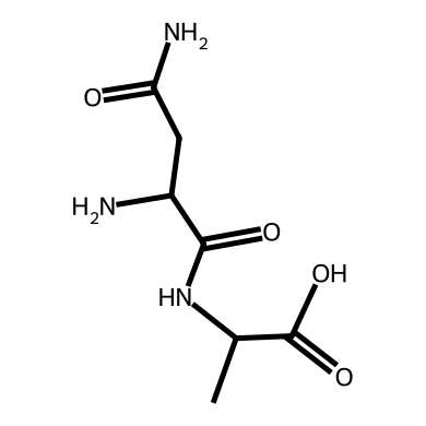 CC(NC(=O)C(N)CC(N)=O)C(=O)O